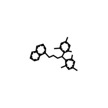 Cc1cc(C)c(C(CCCc2cccc3ccccc23)c2c(C)cc(C)cc2C)c(C)c1